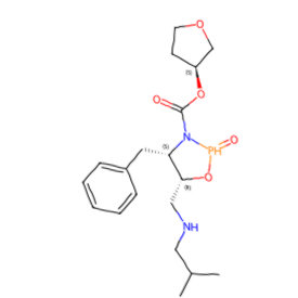 CC(C)CNC[C@H]1O[PH](=O)N(C(=O)O[C@H]2CCOC2)[C@H]1Cc1ccccc1